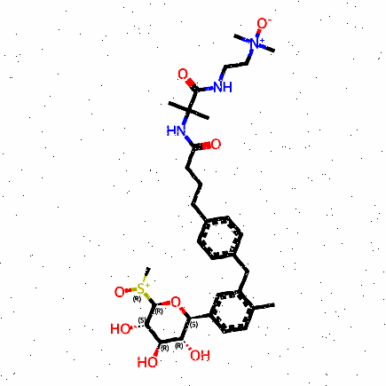 Cc1ccc([C@@H]2O[C@H]([S@+](C)[O-])[C@@H](O)[C@H](O)[C@H]2O)cc1Cc1ccc(CCCC(=O)NC(C)(C)C(=O)NCC[N+](C)(C)[O-])cc1